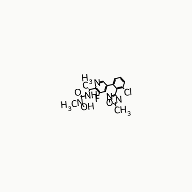 Cc1nc(-c2c(Cl)cccc2-c2cnc([C@@H](C)NC(=O)N(C)O)c(F)c2)no1